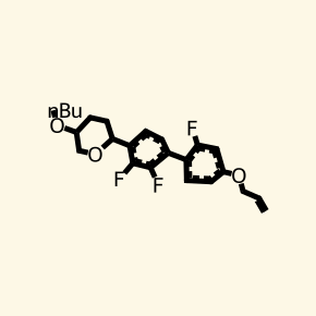 C=CCOc1ccc(-c2ccc(C3CCC(OCCCC)CO3)c(F)c2F)c(F)c1